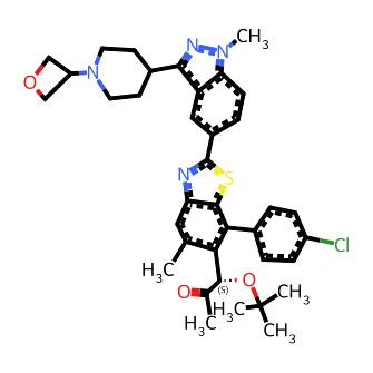 CC(=O)[C@@H](OC(C)(C)C)c1c(C)cc2nc(-c3ccc4c(c3)c(C3CCN(C5COC5)CC3)nn4C)sc2c1-c1ccc(Cl)cc1